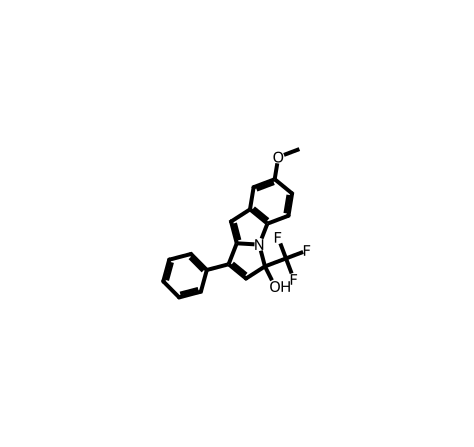 COc1ccc2c(c1)cc1n2C(O)(C(F)(F)F)C=C1c1ccccc1